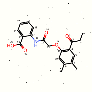 CCC(=O)c1cc(C)c(C)cc1OCC(=O)Nc1ccccc1C(=O)O